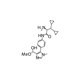 COC(O)c1ncn(C)c1-c1ccc(NC(=O)[C@@H](N)C(C2CC2)C2CC2)cc1